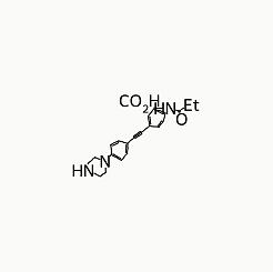 CCC(=O)Nc1ccc(C#Cc2ccc(N3CCNCC3)cc2)cc1C(=O)O